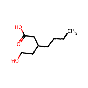 CCCCC(CCO)CC(=O)O